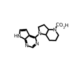 O=C(O)N1CCCC2C1CCN2c1ncnc2[nH]ccc12